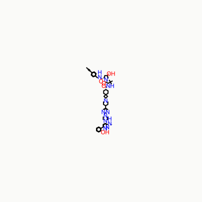 CC#Cc1ccc(CNC(=O)[C@@H]2C[C@@H](O)CN2C(=O)[C@@H](NC(=O)[C@H]2CCC3(CC2)C[C@H](N2CCC(c4cnc(N5CCN(c6cc(-c7ccccc7O)nnc6NC)CC5)nc4)CC2)C3)C(C)(C)C)cc1